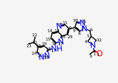 CC(=O)N1CC(Cn2cc(-c3cnc4ccc(Nc5cc(C(C)C)cnn5)nc4c3)cn2)C1